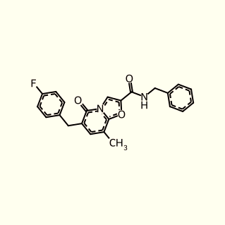 Cc1cc(Cc2ccc(F)cc2)c(=O)n2cc(C(=O)NCc3ccccc3)oc12